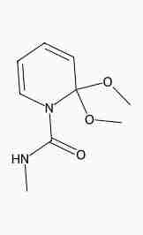 CNC(=O)N1C=CC=CC1(OC)OC